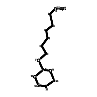 CCCCCCCCCCCCCOP1OSSSO1